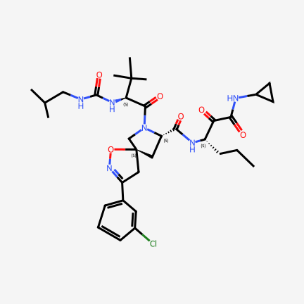 CCC[C@H](NC(=O)[C@@H]1C[C@]2(CC(c3cccc(Cl)c3)=NO2)CN1C(=O)[C@@H](NC(=O)NCC(C)C)C(C)(C)C)C(=O)C(=O)NC1CC1